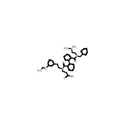 CCOc1cccc(CCN(CCC(=O)O)C(=O)c2ccccc2-c2ccccc2C(=O)N(CCN(C)C)Cc2ccccc2)c1